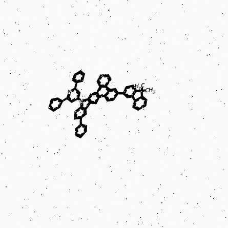 CC1(C)c2ccccc2-c2cc(-c3ccc4c(c3)c3ccccc3c3cc5c(cc43)c3cc(-c4ccccc4)ccc3n5-c3cc(-c4ccccc4)nc(-c4ccccc4)c3)ccc21